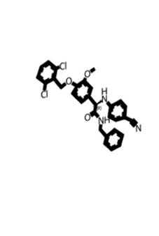 COc1cc([C@@H](Nc2ccc(C#N)cc2)C(=O)NCc2ccccc2)ccc1OCc1c(Cl)cccc1Cl